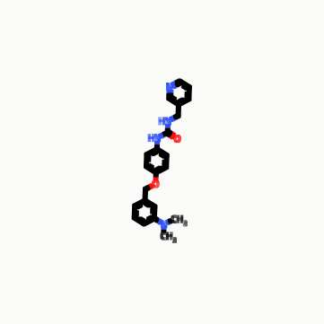 CN(C)c1cccc(COc2ccc(NC(=O)NCc3cccnc3)cc2)c1